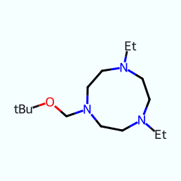 CCN1CCN(CC)CCN(COC(C)(C)C)CC1